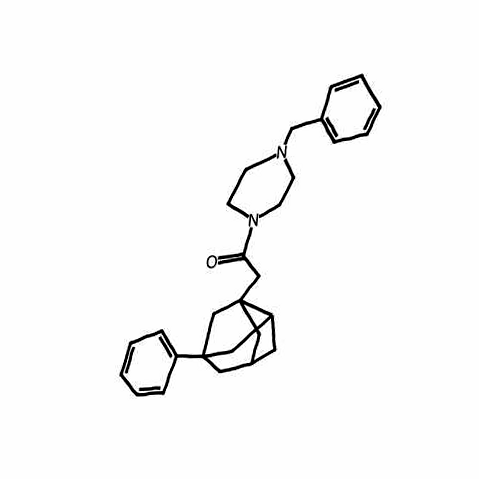 O=C(CC12CC3CC1CC(c1ccccc1)(C3)C2)N1CCN(Cc2ccccc2)CC1